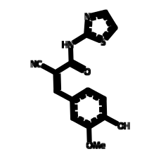 COc1cc(C=C(C#N)C(=O)Nc2nccs2)ccc1O